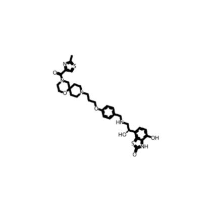 Cc1nc(C(=O)N2CCOC3(CCN(CCCOc4ccc(CNC[C@H](O)c5ccc(O)c6[nH]c(=O)sc56)cc4)CC3)C2)cs1